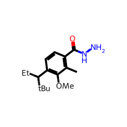 CCC(c1ccc(C(=O)NN)c(C)c1OC)C(C)(C)C